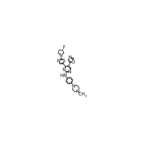 CN1CCN(c2ccc(Nc3ncc(-c4cnco4)c(-c4cnc(N5CC[C@H](F)C5)s4)n3)cc2)CC1